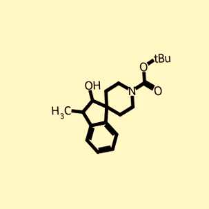 CC1c2ccccc2C2(CCN(C(=O)OC(C)(C)C)CC2)C1O